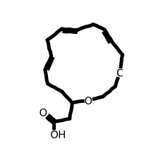 O=C(O)CC1CC/C=C/C/C=C/C/C=C/CCCCO1